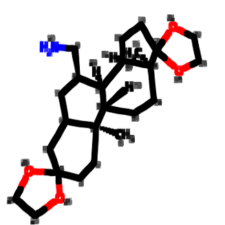 C[C@]12CCC3(CC1C[C@@H](CN)[C@@H]1[C@@H]2CC[C@@]2(C)[C@H]1CCC21OCCO1)OCCO3